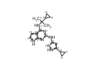 CC(C)(Nc1nc(Nc2cc(C3CC3)[nH]n2)nc2[nH]ccc12)C1CC1